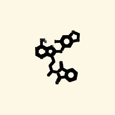 CC(CCn1c(Sc2cc3c(cc2I)OCO3)nc2c(N)ncnc21)N1C(=O)c2ccccc2C1=O